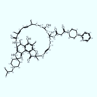 C/C1=C/C=C/C(C)CCC(O)C[C@H](OC(=O)CC(=O)N2CCN(c3ccccn3)CC2)CC/C=C/OC2(C)Oc3c(C)c(O)c4c(c3C2=O)C2=NC3(CCN(CC(C)C)CC3)NC2=C(NC1=O)C4C